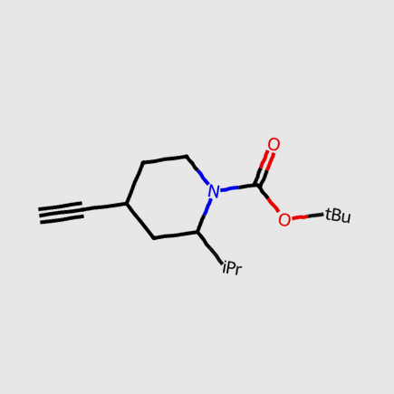 C#CC1CCN(C(=O)OC(C)(C)C)C(C(C)C)C1